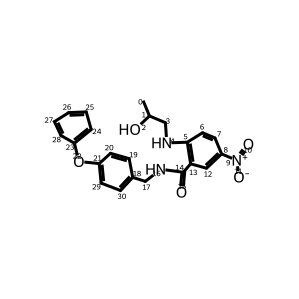 CC(O)CNc1ccc([N+](=O)[O-])cc1C(=O)NCc1ccc(Oc2ccccc2)cc1